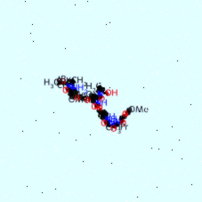 C=C1C[C@@H](CO[Si](C)(C)C(C)(C)C)N(C(=O)c2cc(OC)c(OCCCOc3cc(NC(=O)OCc4ccc(NC(=O)C(C)NC(=O)[C@@H](NC(=O)CCOCCOC)C(C)C)cc4)c(C(=O)N4CC(=C)C[C@H]4CO)cc3OC)cc2N)C1